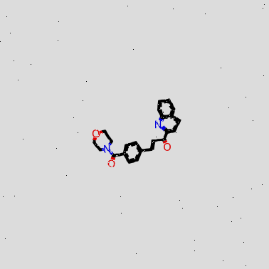 O=C(C=Cc1ccc(C(=O)N2CCOCC2)cc1)c1ccc2ccccc2n1